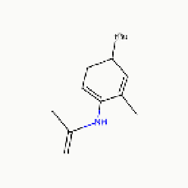 C=C(C)NC1=CCC(C(C)(C)C)C=C1C